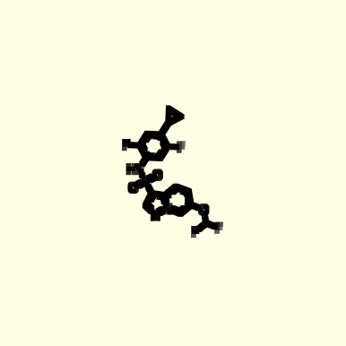 O=S(=O)(Nc1cc(F)c(C2CC2)cc1F)c1cnn2cc(OC(F)F)ccc12